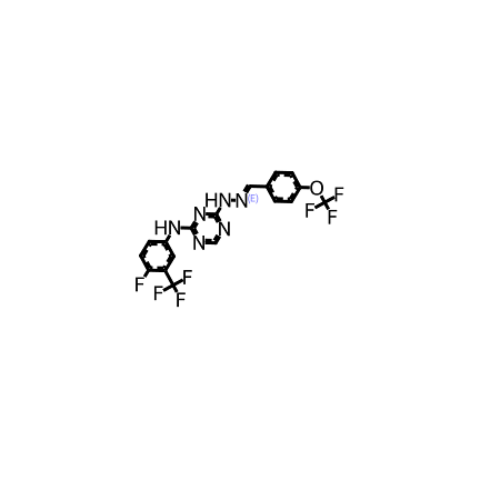 Fc1ccc(Nc2ncnc(N/N=C/c3ccc(OC(F)(F)F)cc3)n2)cc1C(F)(F)F